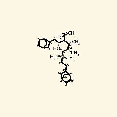 C[SiH2]C(CCC1CC2C=CC1C2)[C@H](C)[C@H](C)[C@@H](O)[Si](C)(C)CCC1CC2C=CC1C2